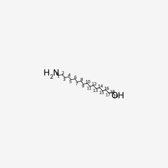 NCCCCCCCCCCCCCCCCCCO